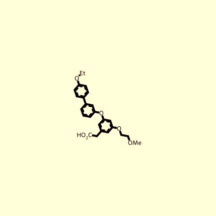 CCOc1ccc(-c2cccc(Oc3cc(CC(=O)O)cc(OCCOC)c3)c2)cc1